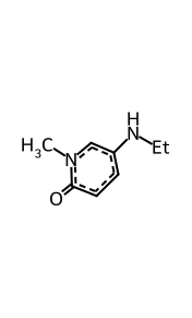 CCNc1ccc(=O)n(C)c1